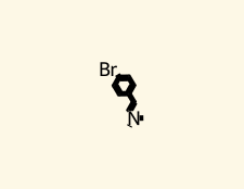 CN(C)C=Cc1ccc(Br)cc1